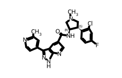 Cc1cc(-c2n[nH]c3ncc(C(=O)N[C@H]4CN(C)C[C@@H]4c4ccc(F)cc4Cl)cc23)ccn1